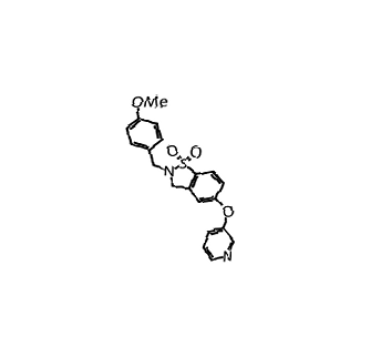 COc1ccc(CN2Cc3cc(Oc4cccnc4)ccc3S2(=O)=O)cc1